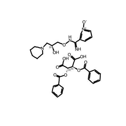 N=C(NOC[C@@H](O)CN1CCCCC1)c1ccc[n+]([O-])c1.O=C(O[C@H](C(=O)O)[C@H](OC(=O)c1ccccc1)C(=O)O)c1ccccc1